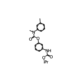 Cc1cccc(N(C)C(=O)Oc2cccc(NC(=O)OC(C)C)c2)c1